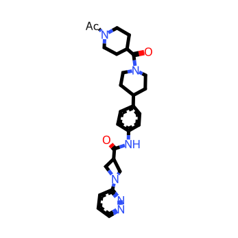 CC(=O)N1CCC(C(=O)N2CCC(c3ccc(NC(=O)C4CN(c5cccnn5)C4)cc3)CC2)CC1